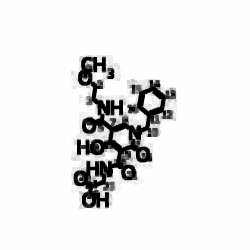 COCCNC(=O)c1cn(Cc2ccccc2)c(=O)c(C(=O)NCC(=O)O)c1O